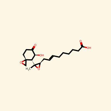 CC1([C@H]2[C@H](O)C(=O)CC[C@]23CO3)O[C@@H]1C/C=C/CCCCCC(=O)O